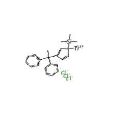 CC(C1=C[C]([Ti+3])([Si](C)(C)C)C=C1)(c1ccccc1)c1ccccc1.[Cl-].[Cl-].[Cl-]